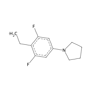 [CH2]Cc1c(F)cc(N2CCCC2)cc1F